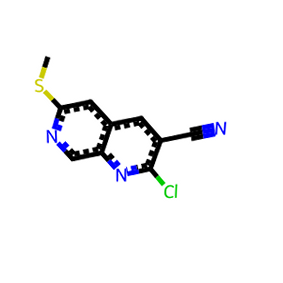 CSc1cc2cc(C#N)c(Cl)nc2cn1